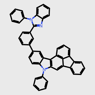 c1ccc(-n2c(-c3cccc(-c4ccc5c(c4)c4c6cccc7c6c(cc4n5-c4ccccc4)-c4ccccc4-7)c3)nc3ccccc32)cc1